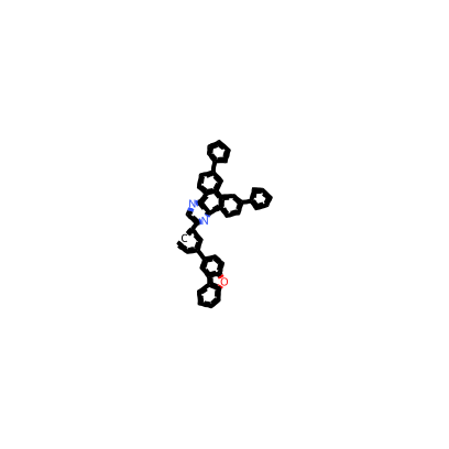 c1ccc(-c2ccc3c(c2)c2cc(-c4ccccc4)ccc2c2nc(-c4cccc(-c5ccc6oc7ccccc7c6c5)c4)cnc32)cc1